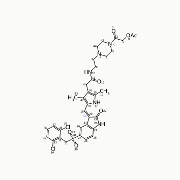 CC(=O)OCC(=O)N1CCN(CCNC(=O)Cc2c(C)[nH]c(/C=C3\C(=O)Nc4ccc(S(=O)(=O)Cc5c(Cl)cccc5Cl)cc43)c2C)CC1